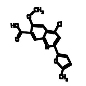 COc1cc2c(Cl)cc(-c3ccc(C)o3)nc2cc1C(=O)O